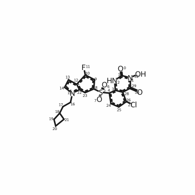 O=c1[nH]c2c(S(=O)(=O)c3cc(F)c4ccn(CCC5CCC5)c4c3)ccc(Cl)c2c(=O)n1O